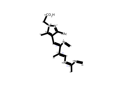 C=NC(=C\c1c(C(C)=O)nn(CC(=O)O)c1C)/C(C)=C/N=C(/C)N=C